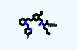 C=CCCC(C(=C)NC)N(C)Cc1cc(CCC2CCCCN2Cc2ccc(F)cn2)ccc1C=C